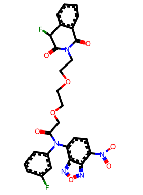 O=C1c2ccccc2C(F)C(=O)N1CCOCCOCC(=O)N(c1cccc(F)c1)c1ccc([N+](=O)[O-])c2nonc12